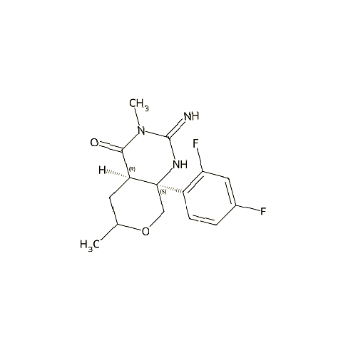 CC1C[C@H]2C(=O)N(C)C(=N)N[C@@]2(c2ccc(F)cc2F)CO1